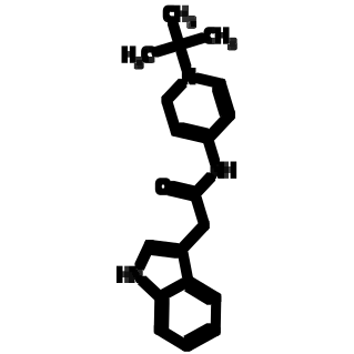 CC(C)(C)N1C=CC(NC(=O)Cc2c[nH]c3ccccc23)=CC1